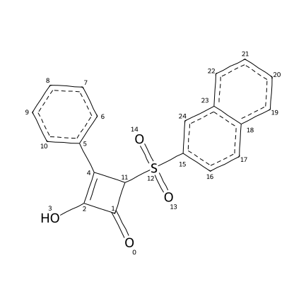 O=C1C(O)=C(c2ccccc2)C1S(=O)(=O)c1ccc2ccccc2c1